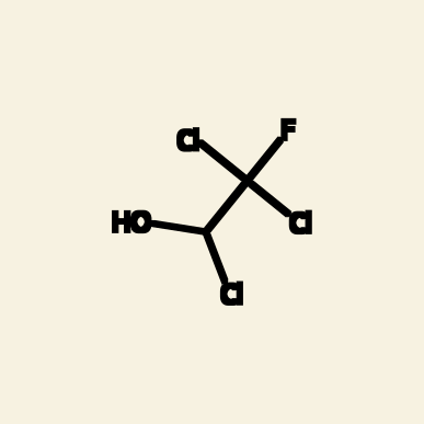 OC(Cl)C(F)(Cl)Cl